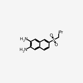 CC(C)CS(=O)(=O)c1ccc2cc(N)c(N)cc2c1